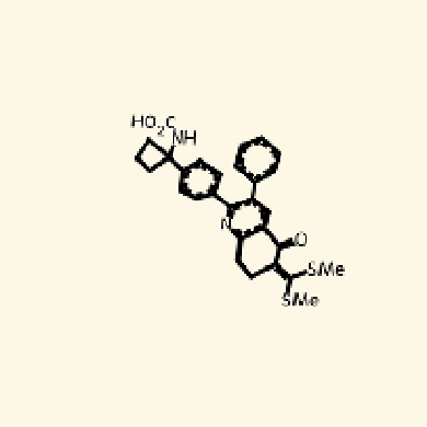 CSC(SC)=C1CCc2nc(-c3ccc(C4(NC(=O)O)CCC4)cc3)c(-c3ccccc3)cc2C1=O